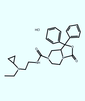 CCN(CCNC(=O)N1CCN2C(=O)OC(c3ccccc3)(c3ccccc3)C2C1)C1CC1.Cl